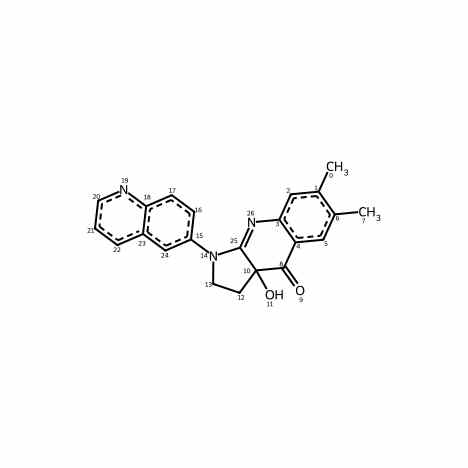 Cc1cc2c(cc1C)C(=O)C1(O)CCN(c3ccc4ncccc4c3)C1=N2